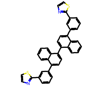 c1cc(-c2nccs2)cc(-c2ccc(-c3ccc(-c4cccc(-c5nccs5)c4)c4ccccc34)c3ccccc23)c1